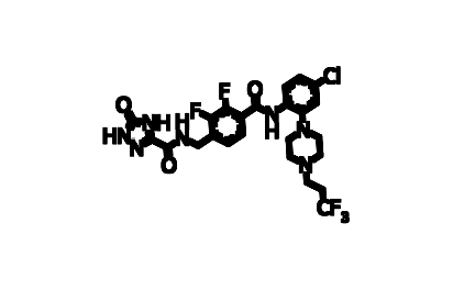 O=C(NCc1ccc(C(=O)Nc2ccc(Cl)cc2N2CCN(CCC(F)(F)F)CC2)c(F)c1F)c1n[nH]c(=O)[nH]1